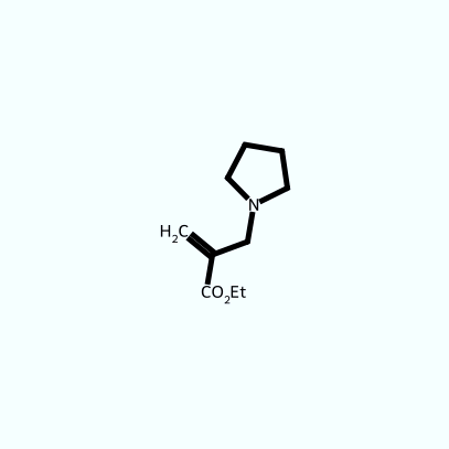 C=C(CN1CCCC1)C(=O)OCC